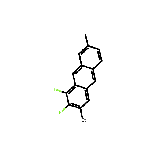 CCc1cc2cc3ccc(C)cc3cc2c(F)c1F